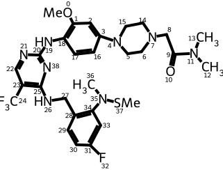 COc1cc(N2CCN(CC(=O)N(C)C)CC2)ccc1Nc1ncc(C(F)(F)F)c(NCc2ccc(F)cc2N(C)SC)n1